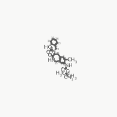 Cc1cc2c(cc1NC(=O)OC(C)(C)C)CNC(=O)C(N(Cc1ccccc1)C(=O)O)C2